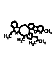 C=CC1=NC2CC(=C)[n+]3ccc(CC(C)C)cc3-c3c(ccc4c3oc3nc(C)ccc34)CCC2c2ccccc21